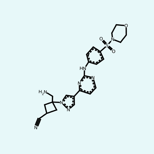 N#CC1CC(CN)(n2cc(-c3ccnc(Nc4ccc(S(=O)(=O)N5CCOCC5)cc4)n3)cn2)C1